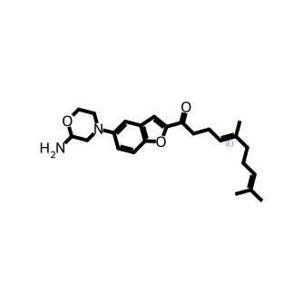 CC(C)=CCC/C(C)=C/CCC(=O)c1cc2cc(N3CCOC(N)C3)ccc2o1